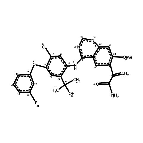 C=C(C(N)=O)c1cc2c(Nc3cc(Cl)c(Oc4cccc(F)c4)cc3C(C)(C)O)ncnc2cc1OC